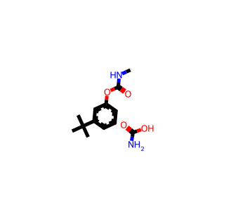 CNC(=O)Oc1cccc(C(C)(C)C)c1.NC(=O)O